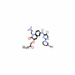 CNC(=O)COc1cc2cc(Nc3nc(N4CCC[C@H](C(C)C)C4)ncc3Cl)ccc2n(CCN(C)C)c1=O